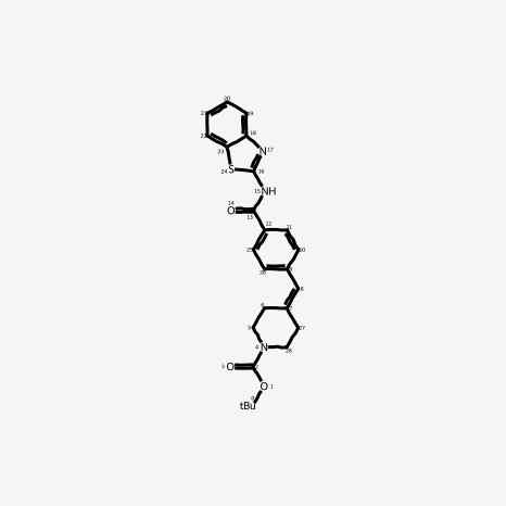 CC(C)(C)OC(=O)N1CCC(=Cc2ccc(C(=O)Nc3nc4ccccc4s3)cc2)CC1